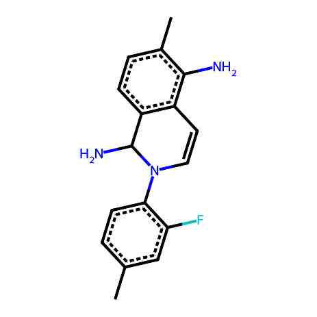 Cc1ccc(N2C=Cc3c(ccc(C)c3N)C2N)c(F)c1